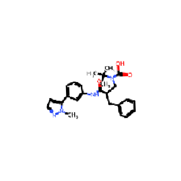 Cn1nccc1-c1cccc(NC(=O)C(Cc2ccccc2)CN(C(=O)O)C(C)(C)C)c1